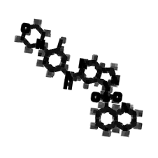 Cc1cc(Nc2cc3c(cn2)cnn3S(=O)(=O)c2cccc3cccnc23)ccc1N1CCOCC1